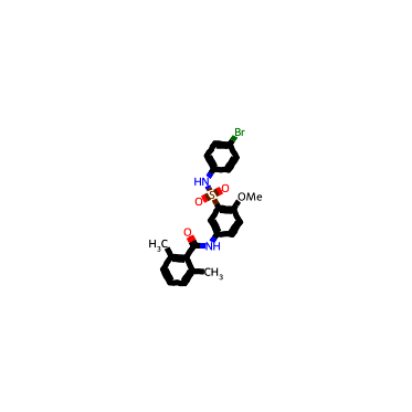 COc1ccc(NC(=O)c2c(C)cccc2C)cc1S(=O)(=O)Nc1ccc(Br)cc1